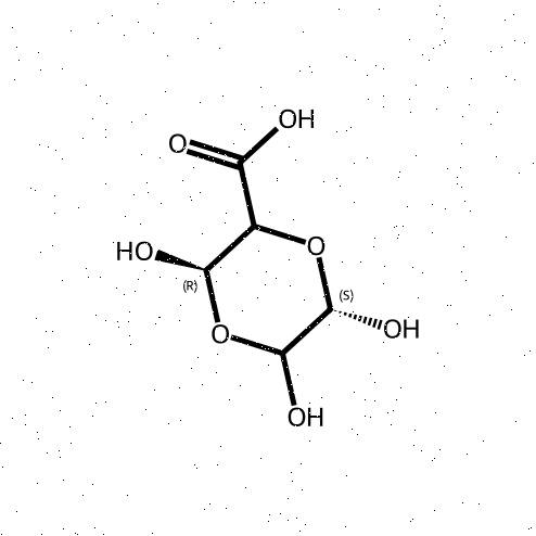 O=C(O)C1O[C@H](O)C(O)O[C@H]1O